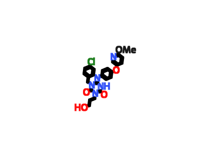 COc1ccc(Oc2ccc(/N=c3\[nH]c(=O)n(CCCO)c(=O)n3Cc3ccc(Cl)cc3)cc2)cn1